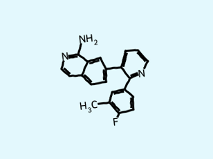 Cc1cc(-c2ncccc2-c2ccc3ccnc(N)c3c2)ccc1F